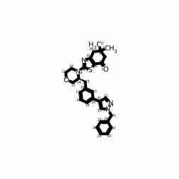 CC1(C)CC(=O)c2sc(N3CCOC[C@@H]3Cc3cccc(-c4cnn(Cc5ccccc5)c4)c3)nc2C1